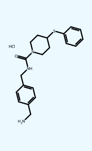 Cl.NCc1ccc(CNC(=O)N2CCC(Sc3ccccc3)CC2)cc1